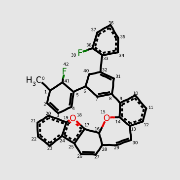 CC1C=CC=C(C2C=C(c3cccc4c3OC3c5oc6ccccc6c5C=CC3C=C4)C=C(c3ccccc3F)C2)C1F